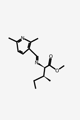 CC[C@H](C)[C@@H](N=Cc1ccc(C)nc1C)C(=O)OC